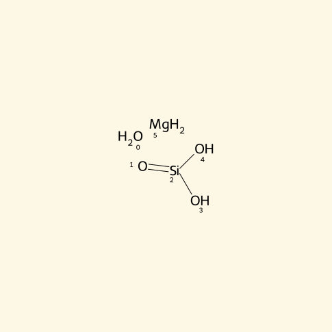 O.O=[Si](O)O.[MgH2]